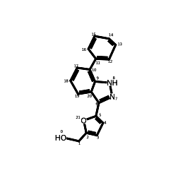 OCc1ccc(-c2n[nH]c3c(-c4ccccc4)cccc23)o1